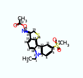 CCn1c2ccc(S(C)(=O)=O)cc2c2c3c(ccc21)/C(=N/OC(C)=O)CS3